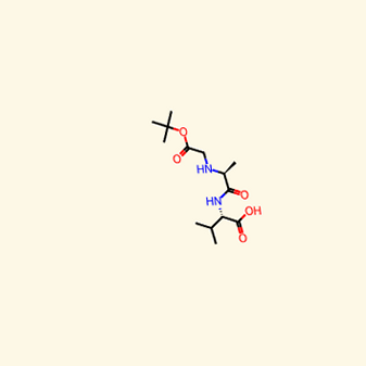 CC(C)[C@H](NC(=O)[C@H](C)NCC(=O)OC(C)(C)C)C(=O)O